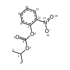 CC(C)OC(=O)Oc1ccccc1[N+](=O)[O-]